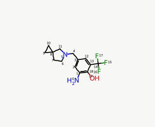 Nc1cc(CN2CCC3(CC3)C2)cc(C(F)(F)F)c1O